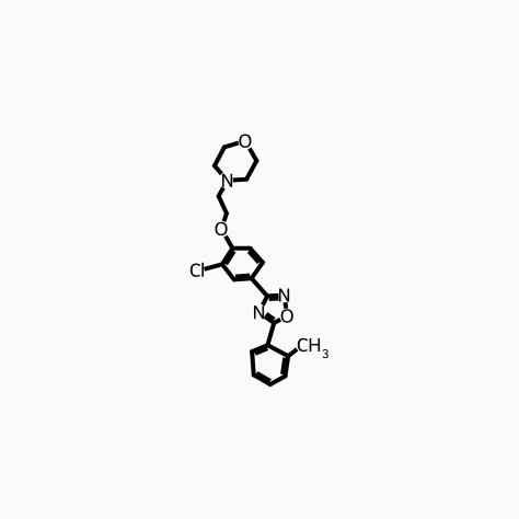 Cc1ccccc1-c1nc(-c2ccc(OCCN3CCOCC3)c(Cl)c2)no1